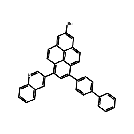 CC(C)(C)c1cc2ccc3c(-c4ccc(-c5ccccc5)cc4)cc(-c4cnc5ccccc5c4)c4ccc(c1)c2c34